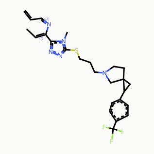 C=C/C=N\C(=C/C)c1nnc(SCCCN2CCC3(CC3c3ccc(C(F)(F)F)cc3)C2)n1C